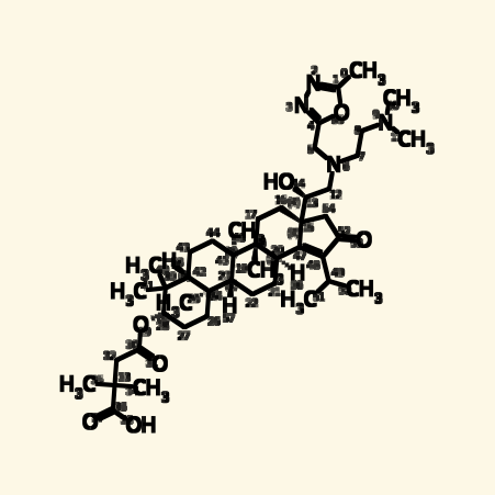 Cc1nnc(CN(CCN(C)C)C[C@H](O)[C@@]23CC[C@]4(C)[C@H](CC[C@@H]5[C@@]6(C)CC[C@H](OC(=O)CC(C)(C)C(=O)O)C(C)(C)[C@@H]6CC[C@]54C)C2=C(C(C)C)C(=O)C3)o1